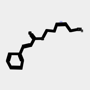 CC/C=C\CCOC(=O)C=Cc1ccccc1